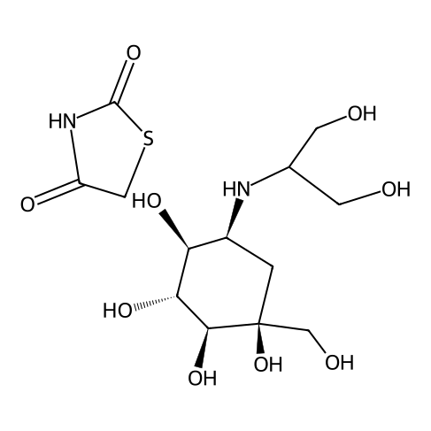 O=C1CSC(=O)N1.OCC(CO)N[C@H]1C[C@](O)(CO)[C@@H](O)[C@H](O)[C@H]1O